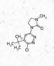 CN1CCN(c2cc(C(C)(C)C)c(Cl)nn2)C1=O